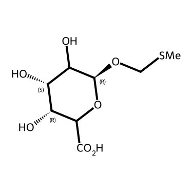 CSCO[C@H]1OC(C(=O)O)[C@H](O)[C@H](O)C1O